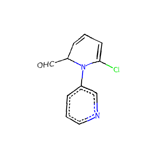 O=CC1C=CC=C(Cl)N1c1cccnc1